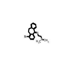 CN(C)CCN=C1c2ccccc2CCc2c(Br)cccc21